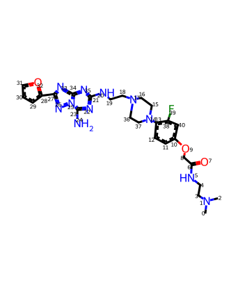 CN(C)CCNC(=O)COc1ccc(N2CCN(CCNc3nc(N)n4nc(-c5ccco5)nc4n3)CC2)c(F)c1